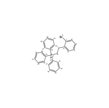 Brc1ccccc1CC[PH](c1ccccc1)(c1ccccc1)c1ccccc1